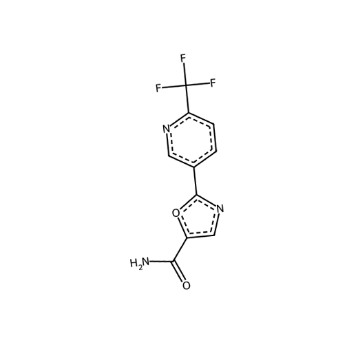 NC(=O)c1cnc(-c2ccc(C(F)(F)F)nc2)o1